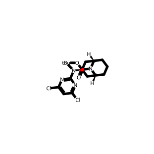 CN(c1nc(Cl)cc(Cl)n1)[C@@H]1C[C@H]2CCC[C@@H](C1)N2C(=O)OC(C)(C)C